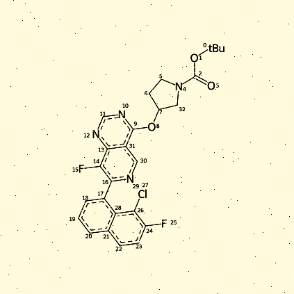 CC(C)(C)OC(=O)N1CCC(Oc2ncnc3c(F)c(-c4cccc5ccc(F)c(Cl)c45)ncc23)C1